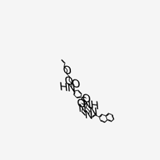 C=CCOCCOC(=O)Nc1ccc(S(=O)(=O)Nc2nccn3cc(-c4ccc5ccccc5c4)nc23)cc1